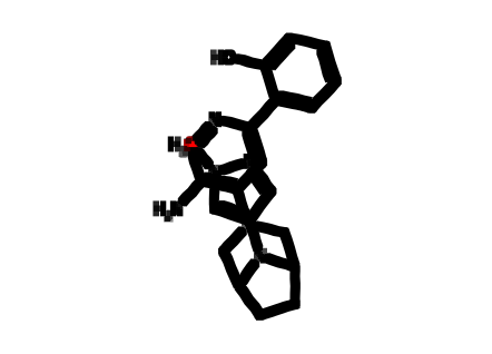 Cn1cc(N2C3CCC2CN(c2cc(-c4ccccc4O)nnc2N)C3)cn1